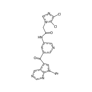 CC(C)n1cc(C(=O)c2cncc(NC(=O)Cn3cnc(Cl)c3Cl)c2)c2cncnc21